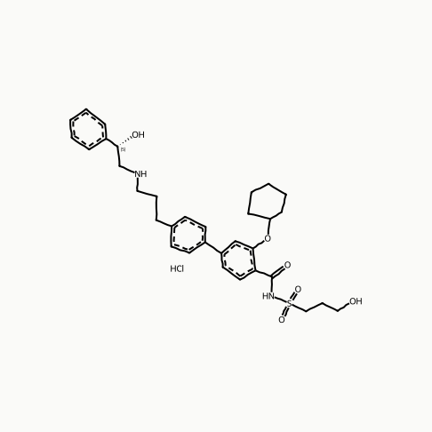 Cl.O=C(NS(=O)(=O)CCCO)c1ccc(-c2ccc(CCCNC[C@@H](O)c3ccccc3)cc2)cc1OC1CCCCC1